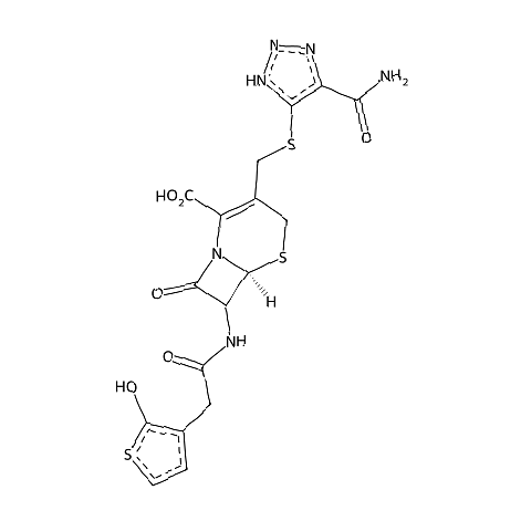 NC(=O)c1nn[nH]c1SCC1=C(C(=O)O)N2C(=O)C(NC(=O)Cc3ccsc3O)[C@@H]2SC1